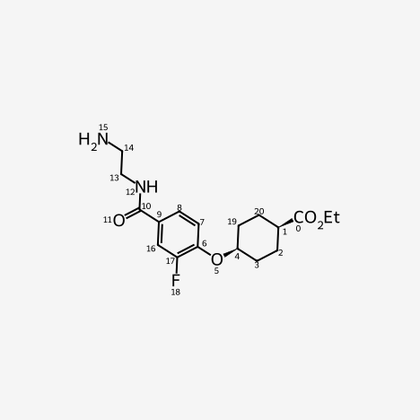 CCOC(=O)[C@H]1CC[C@@H](Oc2ccc(C(=O)NCCN)cc2F)CC1